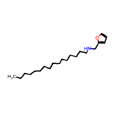 CCCCCCCCCCCCCCCCNCc1ccco1